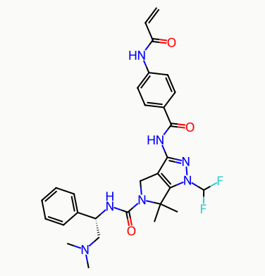 C=CC(=O)Nc1ccc(C(=O)Nc2nn(C(F)F)c3c2CN(C(=O)N[C@H](CN(C)C)c2ccccc2)C3(C)C)cc1